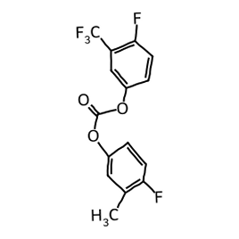 Cc1cc(OC(=O)Oc2ccc(F)c(C(F)(F)F)c2)ccc1F